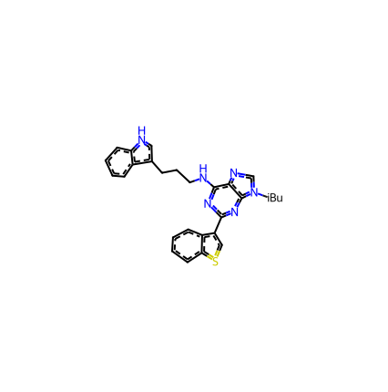 CCC(C)n1cnc2c(NCCCc3c[nH]c4ccccc34)nc(-c3csc4ccccc34)nc21